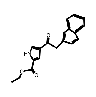 CCOC(=O)c1cc(C(=O)Cc2ccc3ccccc3c2)c[nH]1